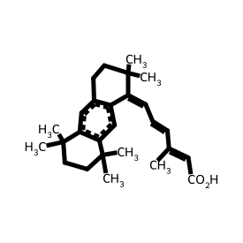 C/C(C=CC=C1c2cc3c(cc2CCC1(C)C)C(C)(C)CCC3(C)C)=C\C(=O)O